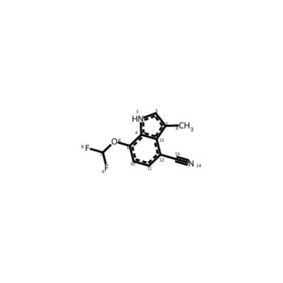 Cc1c[nH]c2c(OC(F)F)ccc(C#N)c12